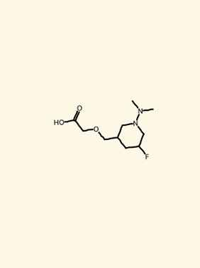 CN(C)N1CC(F)CC(COCC(=O)O)C1